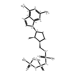 C[C@@H]1[C@H](COP(=O)(O)OP(=O)(O)OP(=O)(O)O)CC[C@@H]1n1cnc2c(N)nc(N)nc21